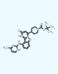 CC1=NC(Nc2cccc3nn4c(C5CCN(C(=O)OC(C)(C)C)CC5)cc(=O)[nH]c4c23)NC=C1